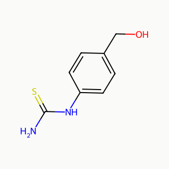 NC(=S)Nc1ccc(CO)cc1